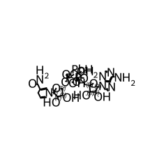 NC(=O)C1=CN([C@@H]2O[C@H](COP(=O)(O)OP(=O)(O)OC[C@H]3O[C@@H](n4cnc5c(N)ncnc54)[C@H](O)[C@@H]3O)[C@@H](O)[C@H]2O)C=CC1.[PbH2]